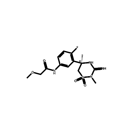 COCC(=O)Nc1ccc(F)c([C@]2(C)CS(=O)(=O)N(C)C(=N)N2)c1